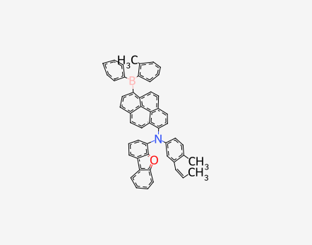 C/C=C\c1cc(N(c2ccc3ccc4c(B(c5ccccc5)c5ccccc5C)ccc5ccc2c3c54)c2cccc3c2oc2ccccc23)ccc1C